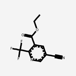 CCOC(=O)c1cc(C#N)cnc1C(F)(F)F